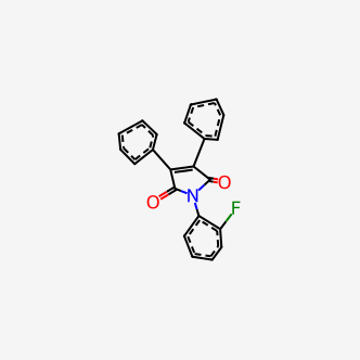 O=C1C(c2ccccc2)=C(c2ccccc2)C(=O)N1c1ccccc1F